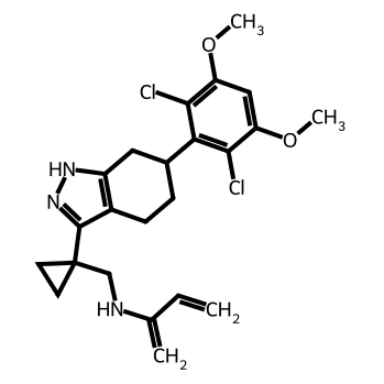 C=CC(=C)NCC1(c2n[nH]c3c2CCC(c2c(Cl)c(OC)cc(OC)c2Cl)C3)CC1